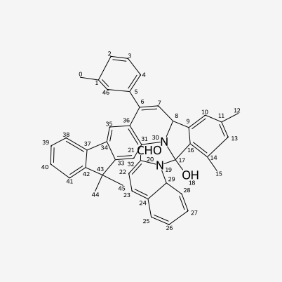 Cc1cccc(C2=CC3c4cc(C)cc(C)c4C(O)(N4C(C=O)=CC=C5C=CC=CC54)N3c3cc4c(cc32)-c2ccccc2C4(C)C)c1